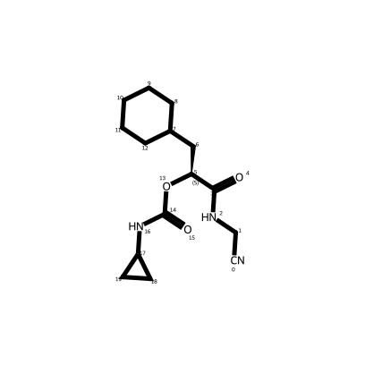 N#CCNC(=O)[C@H](CC1CCCCC1)OC(=O)NC1CC1